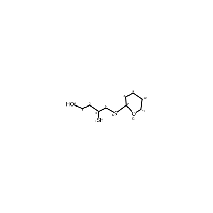 OCCC(S)CSC1CCCCO1